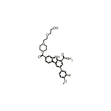 COc1ccc(-c2cc(C(N)=O)c3[nH]c4cc(C(=O)N5CCN(CCOCCO)CC5)ccc4c3c2)cc1F